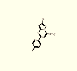 CC(C)(C)c1cc2nc(-c3ccc(F)cc3)cc(C(=O)O)n2n1